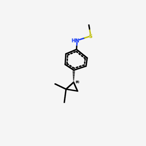 CSNc1ccc([C@@H]2CC2(C)C)cc1